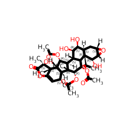 CC(=O)O[C@@H]1[C@H]2[C@H]3C([C@H](OC(C)=O)[C@H](OC(C)=O)[C@]2(C)[C@@H]2[C@@H]1[C@]1(C)C(=C[C@H]2C)OC(=O)[C@@]1(C)O)[C@]1(C(C)=O)[C@H](C[C@@H]2O[C@@H]2[C@@H]1O)[C@H](O)[C@@H]3O